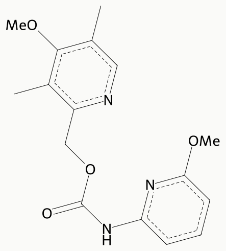 COc1cccc(NC(=O)OCc2ncc(C)c(OC)c2C)n1